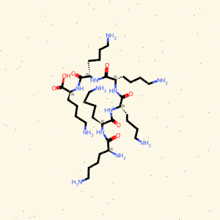 NCCCC[C@H](NC(=O)[C@H](CCCCN)NC(=O)[C@H](CCCCN)NC(=O)[C@H](CCCCN)NC(=O)[C@H](CCCCN)NC(=O)[C@@H](N)CCCCN)C(=O)O